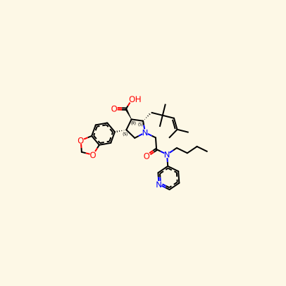 CCCCN(C(=O)CN1C[C@H](c2ccc3c(c2)OCO3)[C@@H](C(=O)O)[C@@H]1CC(C)(C)C=C(C)C)c1cccnc1